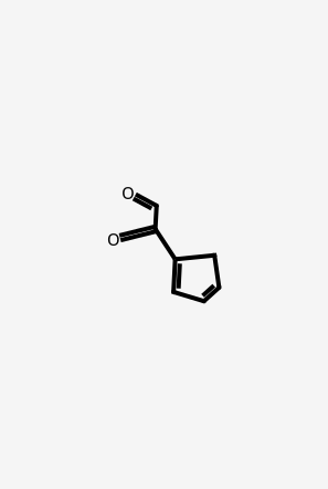 O=CC(=O)C1=CC=CC1